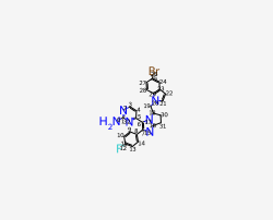 Nc1nccc(-c2c(-c3ccc(F)cc3)nc3n2C(Cn2ccc4cc(Br)ccc42)CC3)n1